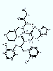 CC(C)OC(=O)C(O)C(CC1CCCCC1)NC(=O)[C@H](Cc1c[nH]cn1)NC(=O)C(Cc1ccccc1O)Cc1ccccc1O